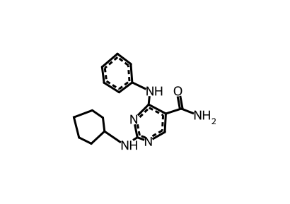 NC(=O)c1cnc(NC2CCCCC2)nc1Nc1ccccc1